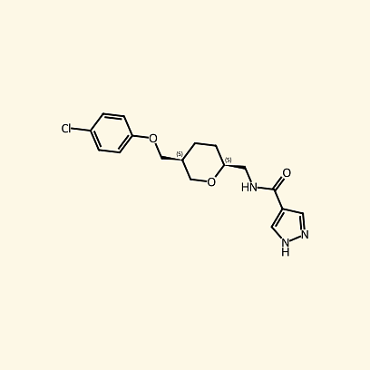 O=C(NC[C@@H]1CC[C@H](COc2ccc(Cl)cc2)CO1)c1cn[nH]c1